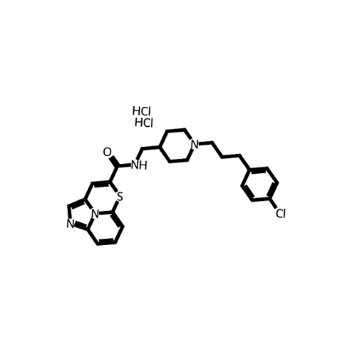 Cl.Cl.O=C(NCC1CCN(CCCc2ccc(Cl)cc2)CC1)C1=Cc2cnc3cccc(n23)S1